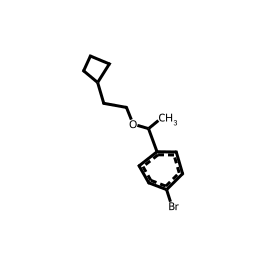 CC(OCCC1CCC1)c1ccc(Br)cc1